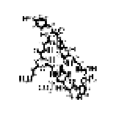 CC(=O)NCC(=O)N[C@@H](CCCCN)C(=O)NCC(=O)N[C@@H](Cc1ccc(O)cc1)C(=O)NCC(=O)N[C@@H](CCCNC(=N)N)C(=O)NCC(=O)N[C@@H](CC(=O)O)C(=O)N[C@@H](CO)C(=O)N1CCC[C@H]1C